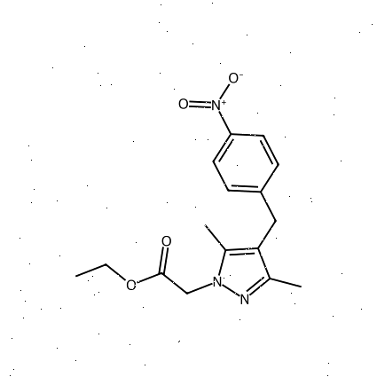 CCOC(=O)Cn1nc(C)c(Cc2ccc([N+](=O)[O-])cc2)c1C